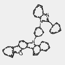 c1ccc(-c2nc3ccccc3n2-c2ccc(-n3c4ccc5c6ccccc6oc5c4c4ccc5ccccc5c43)cc2)cc1